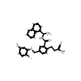 CC(NC(=O)c1cc(COc2cc(F)ccc2F)ccc1CCC(=O)O)c1cccc2ccccc12